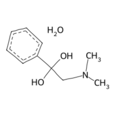 CN(C)CC(O)(O)c1ccccc1.O